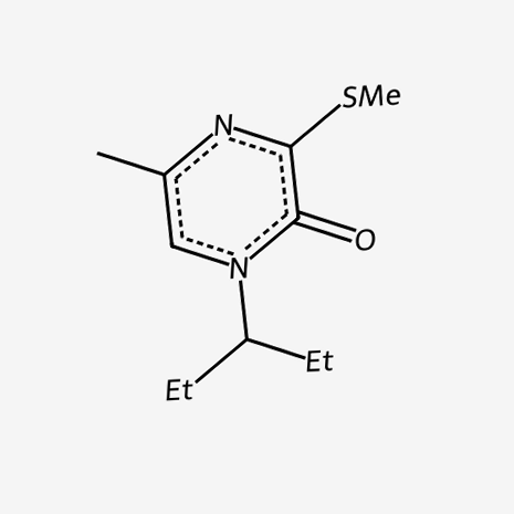 CCC(CC)n1cc(C)nc(SC)c1=O